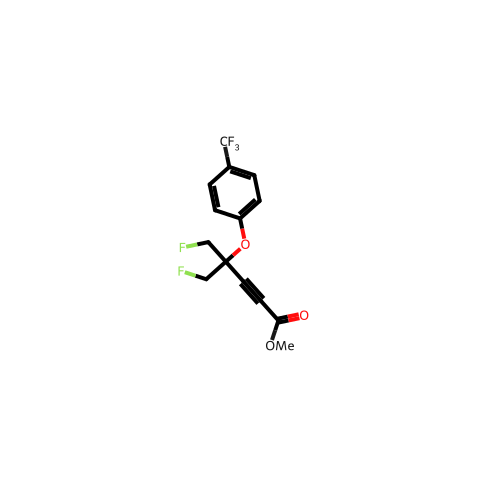 COC(=O)C#CC(CF)(CF)Oc1ccc(C(F)(F)F)cc1